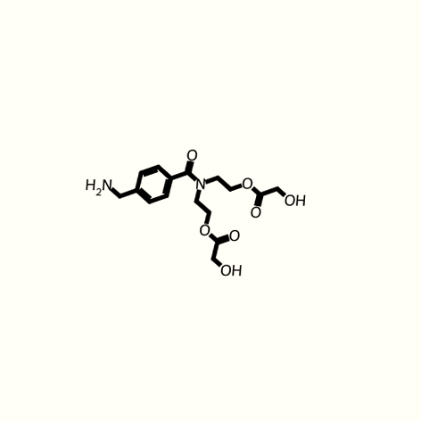 NCc1ccc(C(=O)N(CCOC(=O)CO)CCOC(=O)CO)cc1